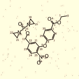 CCOC(=O)c1ccc(Oc2cc(COP(=O)(N3CC3)N3CC3)ccc2[N+](=O)[O-])cc1